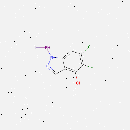 Oc1c(F)c(Cl)cc2c1cnn2PI